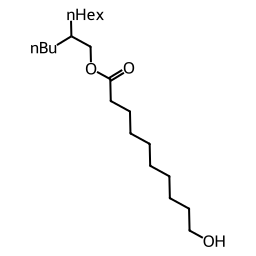 CCCCCCC(CCCC)COC(=O)CCCCCCCCCO